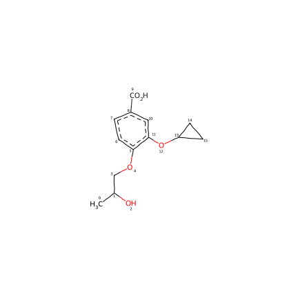 CC(O)COc1ccc(C(=O)O)cc1OC1CC1